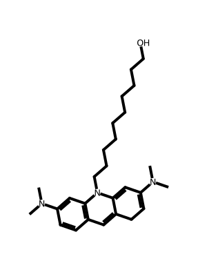 CN(C)C1=CCC2=Cc3ccc(N(C)C)cc3N(CCCCCCCCCCO)C2=C1